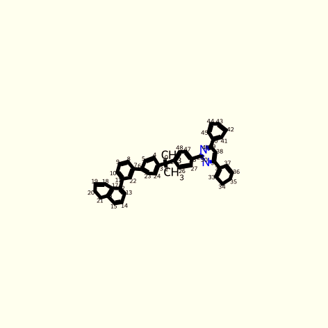 CC(C)(c1ccc(-c2cccc(-c3cccc4c3C=CCC4)c2)cc1)c1ccc(-c2nc(C3=CCCC=C3)cc(-c3ccccc3)n2)cc1